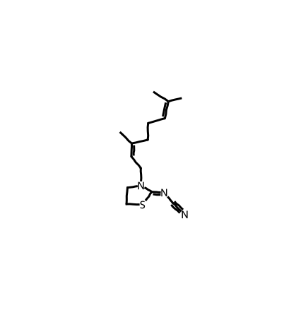 CC(C)=CCCC(C)=CCN1CCSC1=NC#N